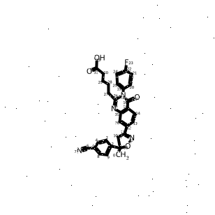 CC1(c2ccc(C#N)cc2)CC(c2ccc3c(=O)n(-c4ccc(F)cc4)c(CCCCC(=O)O)nc3c2)=NO1